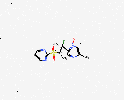 Cc1c[n+]([O-])c([C@](C)(Cl)[C@H](C)S(=O)(=O)c2ncccn2)cn1